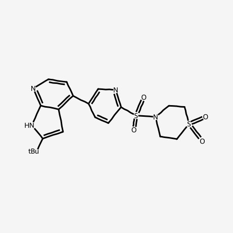 CC(C)(C)c1cc2c(-c3ccc(S(=O)(=O)N4CCS(=O)(=O)CC4)nc3)ccnc2[nH]1